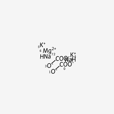 O=C([O-])[O-].O=C([O-])[O-].[K+].[K+].[Mg+2].[NaH].[NaH]